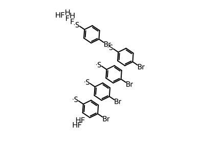 F.F.F.F.F.[S]c1ccc(Br)cc1.[S]c1ccc(Br)cc1.[S]c1ccc(Br)cc1.[S]c1ccc(Br)cc1.[S]c1ccc(Br)cc1